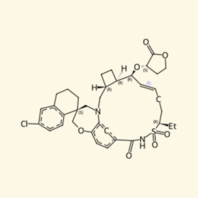 CC[C@@H]1CC/C=C/[C@H](O[C@H]2CCOC2=O)[C@@H]2CC[C@H]2CN2C[C@@]3(CCCc4cc(Cl)ccc43)COc3ccc(cc32)C(=O)NS1(=O)=O